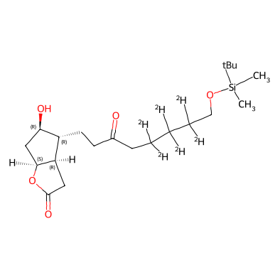 [2H]C([2H])(CO[Si](C)(C)C(C)(C)C)C([2H])([2H])C([2H])([2H])CC(=O)CC[C@@H]1[C@H]2CC(=O)O[C@H]2C[C@H]1O